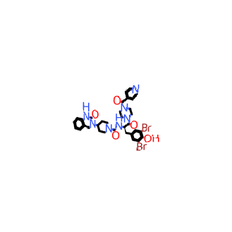 O=C(N[C@H](Cc1cc(Br)c(O)c(Br)c1)C(=O)N1CCN(C(=O)c2ccncc2)CC1)N1CCC(N2Cc3ccccc3NC2=O)CC1